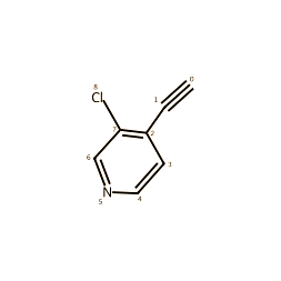 C#Cc1ccncc1Cl